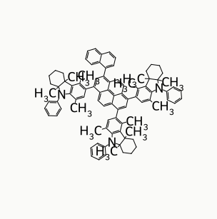 Cc1cc(-c2cc(-c3cc(C)c4c(c3C)C3(C)CCCCC3(C)N4c3ccccc3)c3ccc4c(-c5cccc6ccccc56)cc(-c5cc(C)c6c(c5C)C5(C)CCCCC5(C)N6c5ccccc5)c5ccc2c3c54)c(C)c2c1N(c1ccccc1)C1(C)CCCCC21C